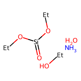 CCO.CCO[Si](=O)OCC.N.O